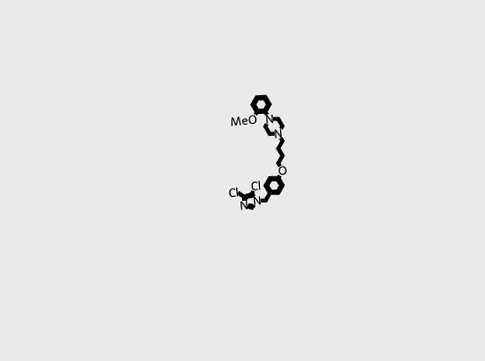 COc1ccccc1N1CCN(CCCCOc2ccc(Cn3cnc(Cl)c3Cl)cc2)CC1